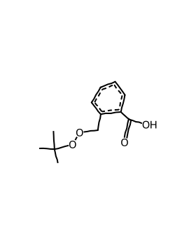 CC(C)(C)OOCc1ccccc1C(=O)O